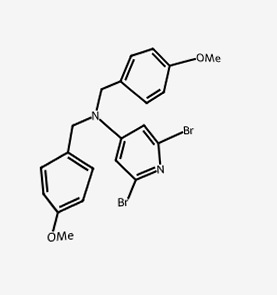 COc1ccc(CN(Cc2ccc(OC)cc2)c2cc(Br)nc(Br)c2)cc1